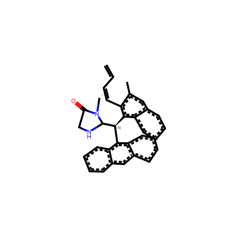 C=C/C=C\c1c(C)cc2ccccc2c1[C@@H](c1c2ccccc2cc2ccccc12)C1NCC(=O)N1C